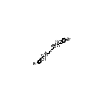 O=C(Nc1nnc(CCSCCc2nnc(NC(=O)C3Cc4cc(Br)ccc4O3)s2)s1)c1cc2cc(Br)ccc2o1